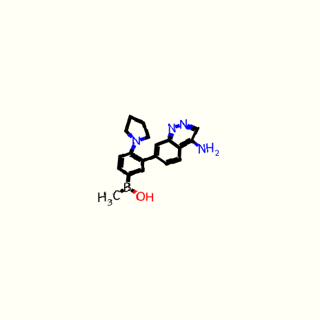 CB(O)c1ccc(N2CCCC2)c(-c2ccc3c(N)cnnc3c2)c1